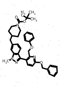 Cn1nc(-c2ccc(OCc3ccccc3)nc2COc2ccccc2)c2ccc(CC3CCN(C(=O)OC(C)(C)C)CC3)cc21